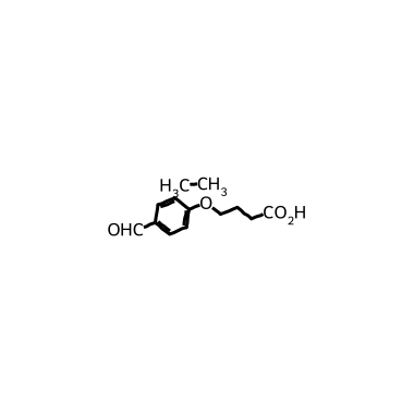 CC.O=Cc1ccc(OCCCC(=O)O)cc1